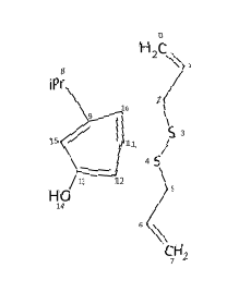 C=CCSSCC=C.CC(C)c1cccc(O)c1